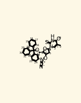 Cc1cn([C@H]2CC(ON=[N+]=[N-])[C@@H](COC(c3ccccc3)(c3ccccc3)c3ccccc3)O2)c(=S)[nH]c1=O